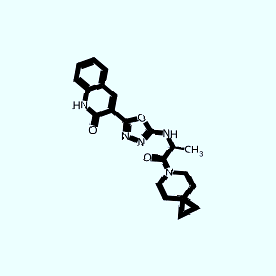 C[C@H](Nc1nnc(-c2cc3ccccc3[nH]c2=O)o1)C(=O)N1CCC2(CC1)CC2